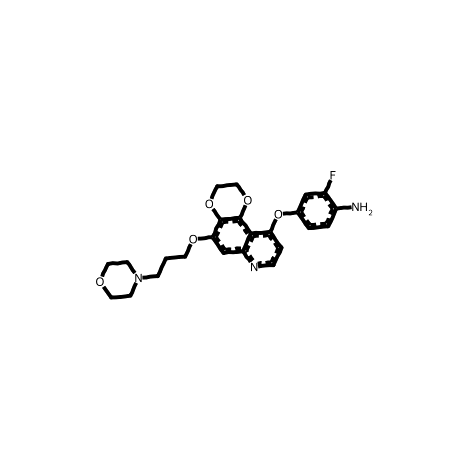 Nc1ccc(Oc2ccnc3cc(OCCCN4CCOCC4)c4c(c23)OCCO4)cc1F